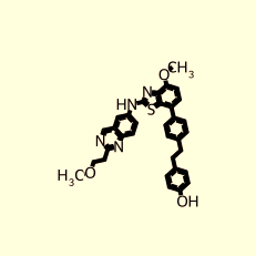 COCCc1ncc2cc(Nc3nc4c(OC)ccc(-c5ccc(CCc6ccc(O)cc6)cc5)c4s3)ccc2n1